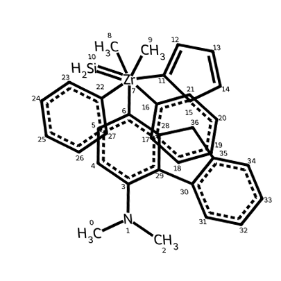 CN(C)c1cc[c]([Zr]([CH3])([CH3])(=[SiH2])([C]2=CC=CC2)([c]2ccccc2)[c]2ccccc2)c2c1-c1ccccc1C2